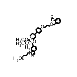 COCCCn1ncc2ccc(COC3CC(c4ccc(OCCCOCc5ccccc5OC)cc4)CCN3C(=O)OC(C)(C)C)cc21